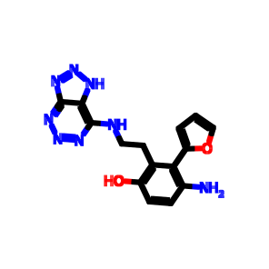 Nc1ccc(O)c(CCNc2nnnc3nn[nH]c23)c1-c1ccco1